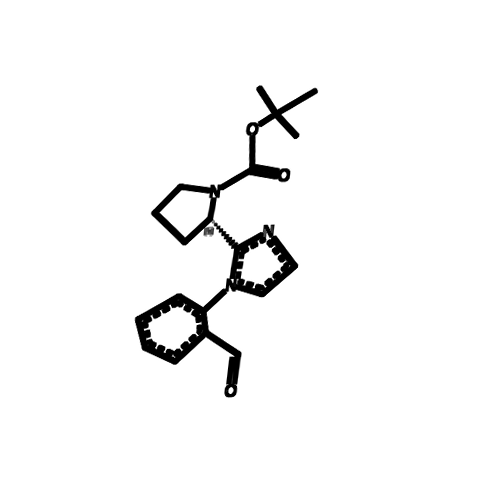 CC(C)(C)OC(=O)N1CCC[C@H]1c1nccn1-c1ccccc1C=O